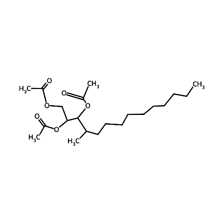 CCCCCCCCCCC(C)C(OC(C)=O)C(COC(C)=O)OC(C)=O